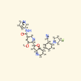 COc1cc(C(=O)NC2CN3CCC2CC3)cnc1-c1cc2nccc(-c3ccc(N4CCC(F)C4)c(C#N)c3)c2o1